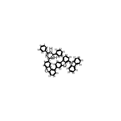 c1ccc(C2=NC(c3ccc4oc5cccc(-c6ccc7c(c6)oc6c(-n8c9ccccc9c9ccccc98)cccc67)c5c4c3)NC(c3ccccc3)N2)cc1